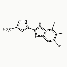 Cc1c(Br)cc2nc(-n3cc(C(=O)O)cn3)[nH]c2c1C